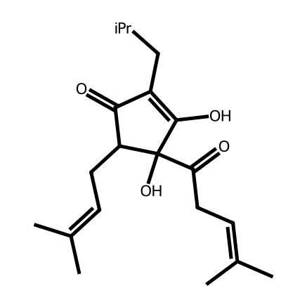 CC(C)=CCC(=O)C1(O)C(O)=C(CC(C)C)C(=O)C1CC=C(C)C